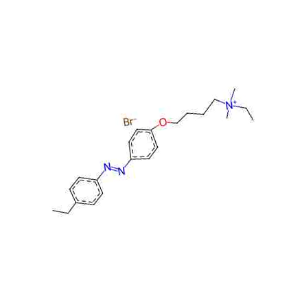 CCc1ccc(N=Nc2ccc(OCCCC[N+](C)(C)CC)cc2)cc1.[Br-]